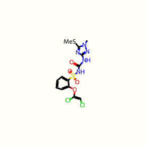 CSc1nc(NC(=O)NS(=O)(=O)c2ccccc2OC(Cl)=CCl)nn1C